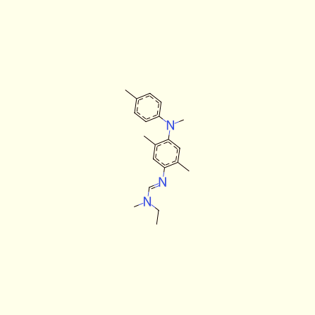 CCN(C)C=Nc1cc(C)c(N(C)c2ccc(C)cc2)cc1C